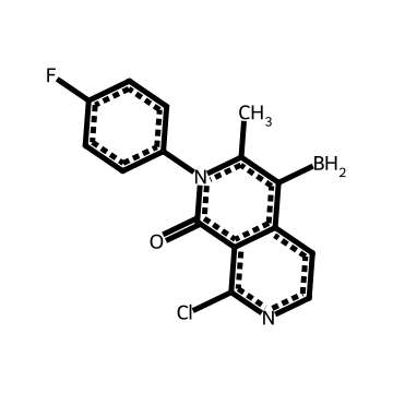 Bc1c(C)n(-c2ccc(F)cc2)c(=O)c2c(Cl)nccc12